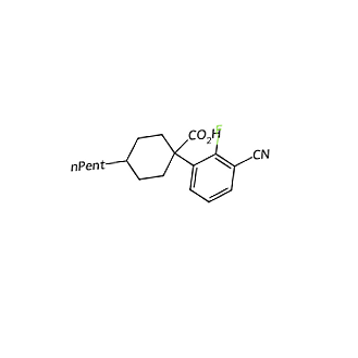 CCCCCC1CCC(C(=O)O)(c2cccc(C#N)c2F)CC1